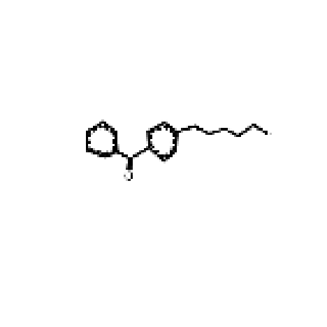 [CH2]CCCCCc1ccc(C(=O)c2ccccc2)cc1